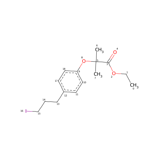 CCOC(=O)C(C)(C)Oc1ccc(CCCI)cc1